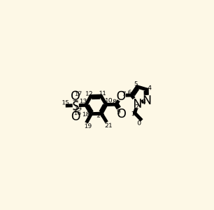 CCn1nccc1OC(=O)c1ccc(S(C)(=O)=O)c(C)c1C